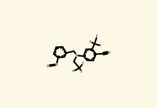 N#Cc1ccc(N(Cc2cccc(N=O)c2)CC(F)(F)F)cc1C(F)(F)F